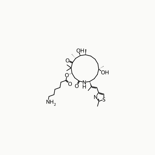 C/C(=C\c1csc(C)n1)[C@@H]1CC[C@](C)(O)CCC[C@H](C)[C@H](O)[C@@H](C)C(=O)C(C)(C)[C@@H](OC(=O)CCCCCN)CC(=O)N1